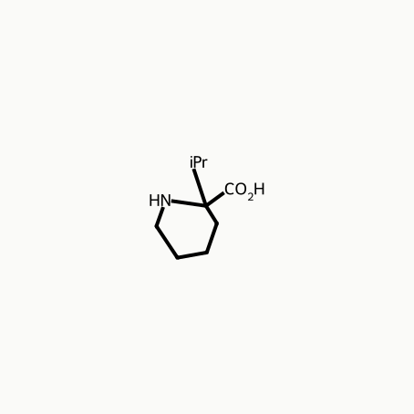 CC(C)C1(C(=O)O)CCCCN1